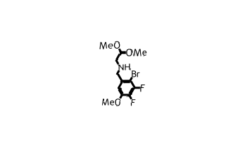 COc1cc(CNCC(OC)OC)c(Br)c(F)c1F